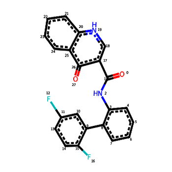 O=C(Nc1ccccc1-c1cc(F)ccc1F)c1c[nH]c2ccccc2c1=O